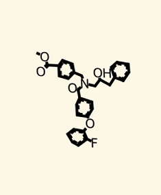 COC(=O)c1ccc(CN(CC(O)Cc2ccccc2)C(=O)c2ccc(Oc3ccccc3F)cc2)cc1